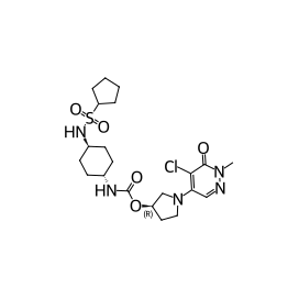 Cn1ncc(N2CC[C@@H](OC(=O)N[C@H]3CC[C@H](NS(=O)(=O)C4CCCC4)CC3)C2)c(Cl)c1=O